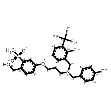 CS(=O)(=O)c1cc(OCCCN(Cc2ccc(F)cc2)Cc2cccc(C(F)(F)F)c2F)ccc1CO